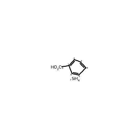 O=C(O)c1ccccc1.[SiH4]